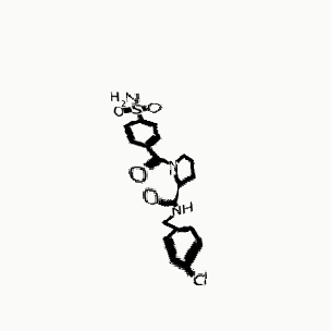 NS(=O)(=O)c1ccc(C(=O)N2CCC[C@H]2C(=O)NCc2ccc(Cl)cc2)cc1